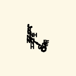 C=CC(=C)N1CC[C@@H](Nc2ncnc3[nH]c(C#CCOc4ccccc4OC(F)(F)F)cc23)C1